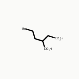 CCC(C)CC[C](CC(=O)O)C(=O)O